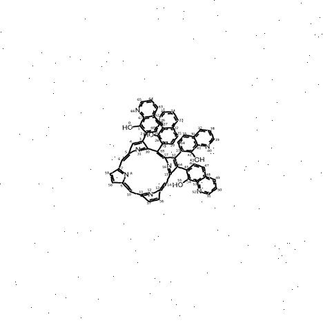 Oc1c(C2=CC3=CC4=NC(=CC5=NC(=CC6=NC(=C(c7ccc8cccnc8c7O)C2=N3)C(c2ccc3cccnc3c2O)=C6c2ccc3cccnc3c2O)C=C5)C=C4)ccc2cccnc12